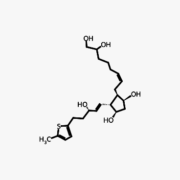 Cc1ccc(CC[C@H](O)C=C[C@@H]2[C@@H](C/C=C\CCCC(O)CO)[C@@H](O)C[C@H]2O)s1